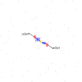 CCCCCCCC/C=C\CCCCCCCC(=O)OCCNCCNCCSSCCN1CCN(CCOC(=O)CCCCCCC/C=C\CCCCCCCC)CC1